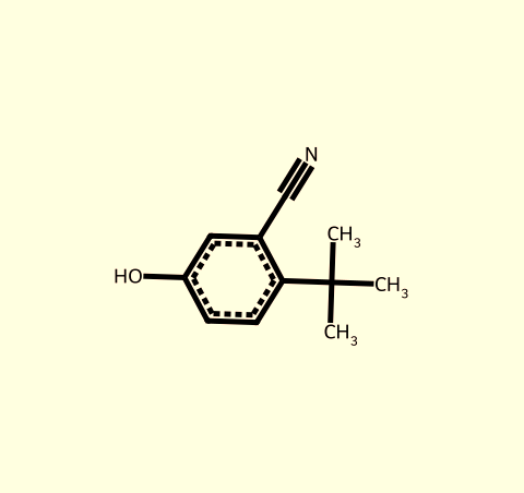 CC(C)(C)c1ccc(O)cc1C#N